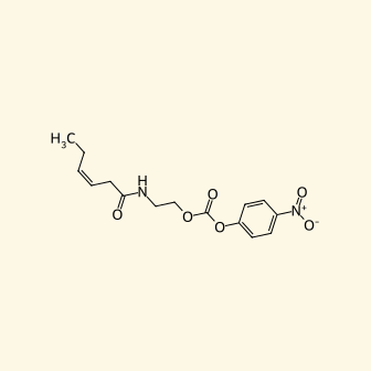 CC/C=C\CC(=O)NCCOC(=O)Oc1ccc([N+](=O)[O-])cc1